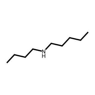 CCCCCNCCCC